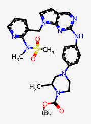 CC1CN(c2ccc(Nc3ncc4ccn(Cc5cccnc5N(C)S(C)(=O)=O)c4n3)cc2)CCN1C(=O)OC(C)(C)C